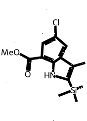 COC(=O)c1cc(Cl)cc2c(C)c([Si](C)(C)C)[nH]c12